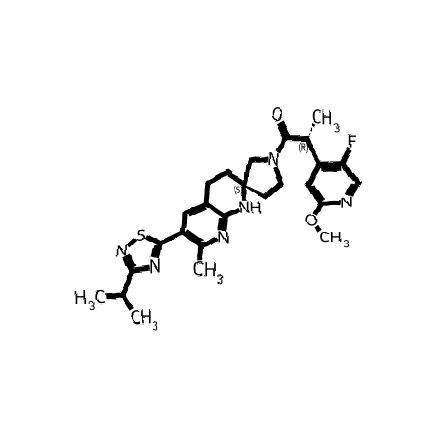 COc1cc([C@@H](C)C(=O)N2CC[C@@]3(CCc4cc(-c5nc(C(C)C)ns5)c(C)nc4N3)C2)c(F)cn1